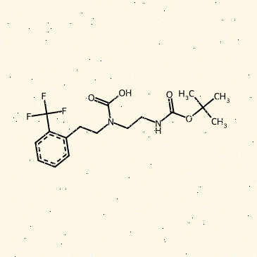 CC(C)(C)OC(=O)NCCN(CCc1ccccc1C(F)(F)F)C(=O)O